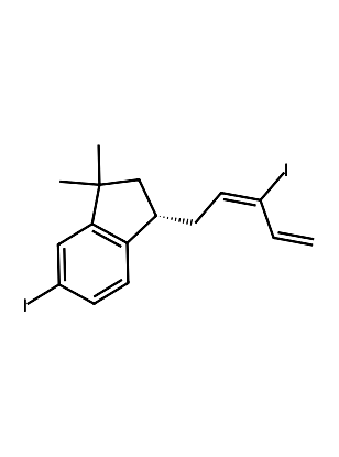 C=C/C(I)=C\C[C@H]1CC(C)(C)c2cc(I)ccc21